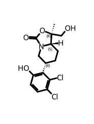 C[C@@]1(CO)OC(=O)N2C[C@@H](c3c(O)ccc(Cl)c3Cl)CC[C@H]21